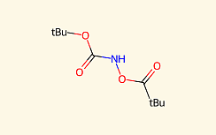 CC(C)(C)OC(=O)NOC(=O)C(C)(C)C